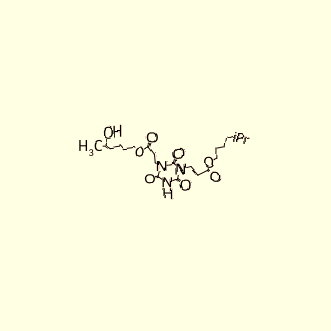 CC(C)CCCCOC(=O)CCn1c(=O)[nH]c(=O)n(CCC(=O)OCCCCC(C)O)c1=O